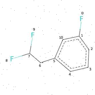 Fc1cccc([CH]C(F)F)c1